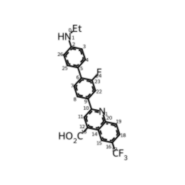 CCNc1ccc(-c2ccc(-c3cc(C(=O)O)c4cc(C(F)(F)F)ccc4n3)cc2F)cc1